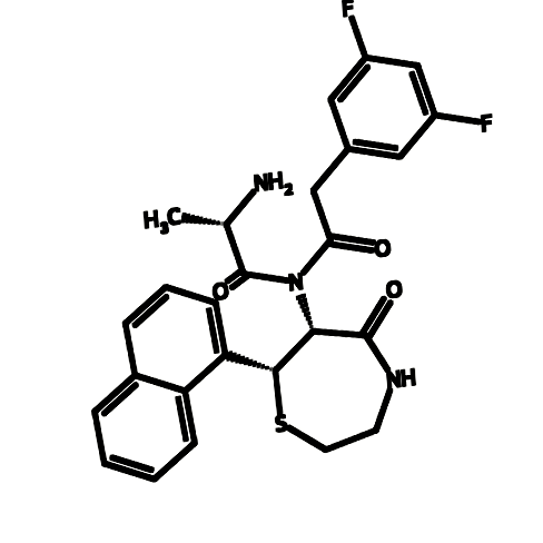 C[C@H](N)C(=O)N(C(=O)Cc1cc(F)cc(F)c1)[C@@H]1C(=O)NCCS[C@@H]1c1cccc2ccccc12